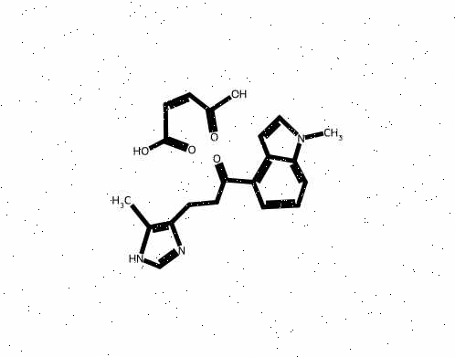 Cc1[nH]cnc1CCC(=O)c1cccc2c1ccn2C.O=C(O)/C=C\C(=O)O